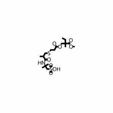 CCC(C)(COC(=O)CCSCC(C)C(=O)NC(C)(C)CS(=O)(=O)O)C(=O)OC